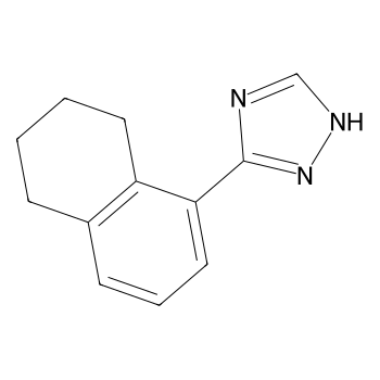 c1cc2c(c(-c3nc[nH]n3)c1)CCCC2